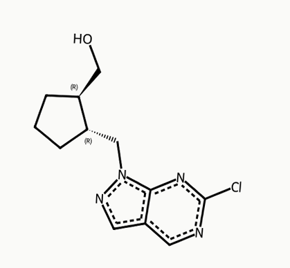 OC[C@@H]1CCC[C@H]1Cn1ncc2cnc(Cl)nc21